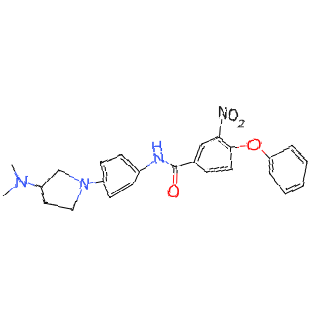 CN(C)C1CCN(c2ccc(NC(=O)c3ccc(Oc4ccccc4)c([N+](=O)[O-])c3)cc2)C1